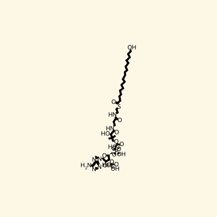 CC(C)(COP(=O)(O)OP(=O)(O)OC[C@H]1O[C@@H](n2cnc3c(N)ncnc32)[C@H](O)[C@@H]1OP(=O)(O)O)[C@@H](O)C(=O)NCCC(=O)NCCSC(=O)CCCCCCCCCCCCCCCCCO